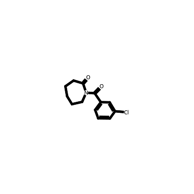 O=C1CCCCCN1C(=O)c1cccc(Cl)c1